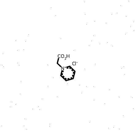 O=C(O)C[n+]1ccccc1.[Cl-]